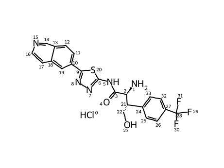 Cl.N[C@H](C(=O)Nc1nnc(-c2ccc3cnccc3c2)s1)[C@@H](CO)c1ccc(C(F)(F)F)cc1